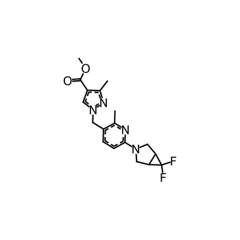 COC(=O)c1cn(Cc2ccc(N3CC4C(C3)C4(F)F)nc2C)nc1C